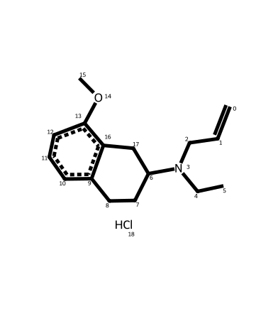 C=CCN(CC)C1CCc2cccc(OC)c2C1.Cl